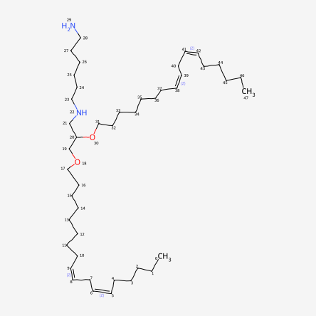 CCCCC/C=C\C/C=C\CCCCCCCCOCC(CNCCCCCCN)OCCCCCCC/C=C\C/C=C\CCCCC